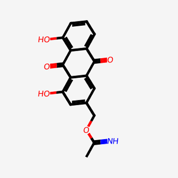 CC(=N)OCc1cc(O)c2c(c1)C(=O)c1cccc(O)c1C2=O